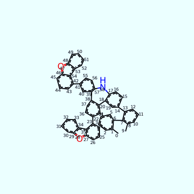 Cc1ccccc1-c1c(C)cccc1-c1ccc2c(c1)-c1cc(-c3cccc4oc5ccccc5c34)ccc1-c1cc(-c3cccc4oc5ccccc5c34)ccc1N2